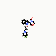 O=CN1CCOCC1c1cc2ccccc2n1OCCCN1CCC(F)(F)CC1